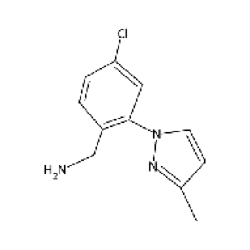 Cc1ccn(-c2cc(Cl)ccc2CN)n1